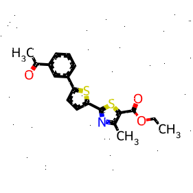 CCOC(=O)c1sc(-c2ccc(-c3cccc(C(C)=O)c3)s2)nc1C